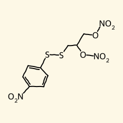 O=[N+]([O-])OCC(CSSc1ccc([N+](=O)[O-])cc1)O[N+](=O)[O-]